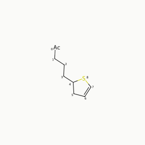 CC(=O)CCCC1CC=CS1